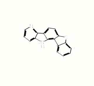 c1cnc2c(c1)[nH]c1c2ccc2sc3ccccc3c21